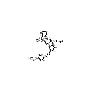 CCCCCCCN1C(=O)C(=NN(C=O)Nc2ccccc2Cl)c2cc(SCCc3ccc(C(=O)O)cc3)ccc21